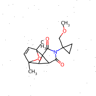 COCC1(N2C(=O)C3C4C5(C)C=CC(C)(O5)C34C2=O)CC1